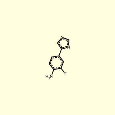 Nc1ccc(-c2cscn2)cc1F